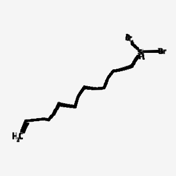 C=CCCCCCCC[SiH](Br)Br